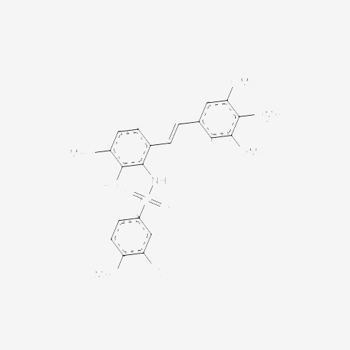 COc1ccc(S(=O)(=O)Nc2c(C=Cc3cc(OC)c(OC)c(OC)c3)ccc(OC)c2O)cc1O